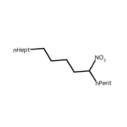 CCCCCCCCCCCC(CCCCC)[N+](=O)[O-]